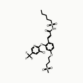 CCCCCS(=O)(=O)NC(=O)/C=C/c1ccc(OCCCS(C)(=O)=O)cc1Oc1ncc(C(F)(F)F)cc1Cl